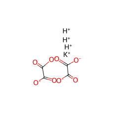 O=C([O-])C(=O)[O-].O=C([O-])C(=O)[O-].[H+].[H+].[H+].[K+]